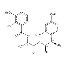 COc1ccc([C@@H](C)[C@@H](C)OC(=O)[C@H](C)NC(=O)c2nccc(OC)c2O)c(C)c1